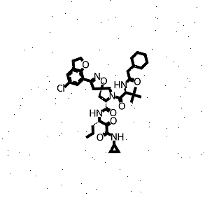 CCC[C@H](NC(=O)[C@@H]1C[C@]2(CC(c3cc(Cl)cc4c3OCC4)=NO2)CN1C(=O)[C@@H](NC(=O)CC1CCCCC1)C(C)(C)C)C(=O)C(=O)NC1CC1